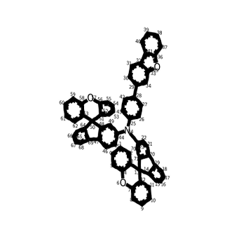 c1ccc2c(c1)Oc1ccccc1C21c2ccccc2-c2ccc(N(c3ccc(-c4ccc5c(c4)oc4ccccc45)cc3)c3ccc4c(c3)C3(c5ccccc5Oc5ccccc53)c3ccccc3-4)cc21